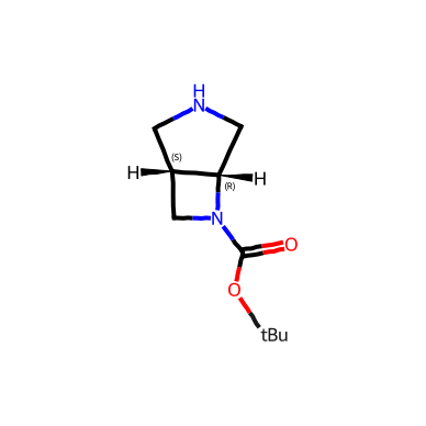 CC(C)(C)OC(=O)N1C[C@@H]2CNC[C@@H]21